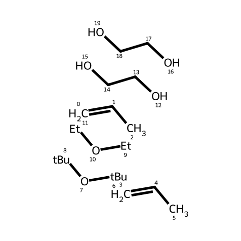 C=CC.C=CC.CC(C)(C)OC(C)(C)C.CCOCC.OCCO.OCCO